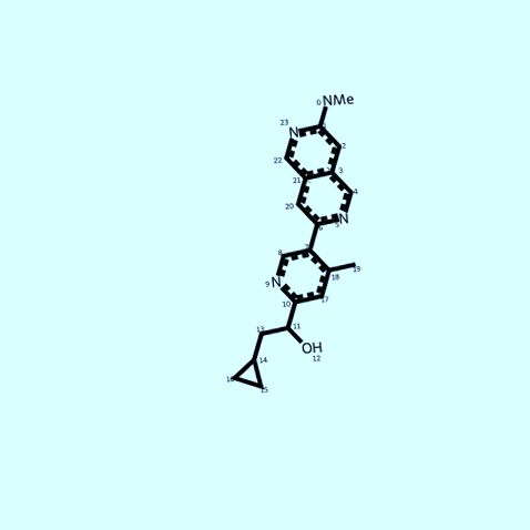 CNc1cc2cnc(-c3cnc(C(O)CC4CC4)cc3C)cc2cn1